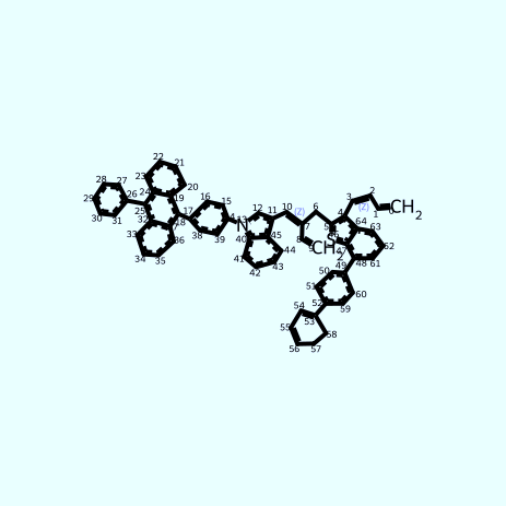 C=C/C=C\c1c(C/C(C=C)=C/c2cn(-c3ccc(-c4c5ccccc5c(-c5ccccc5)c5ccccc45)cc3)c3ccccc23)sc2c(-c3ccc(C4=CC=CCC4)cc3)cccc12